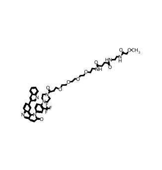 COCC(=O)NCCNC(=O)CCC(=O)NCCOCCOCCOCCOCCC(=O)N1CCN(c2ccc(-n3c(=O)ccc4cnc5ccc(-c6cnc7ccccc7c6)cc5c43)cc2C(F)(F)F)CC1